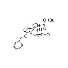 CC(C)(C)OC(=O)N1CC[C@@H]2[C@H]1[C@@H](C=O)CN2C(=O)OCc1ccccc1